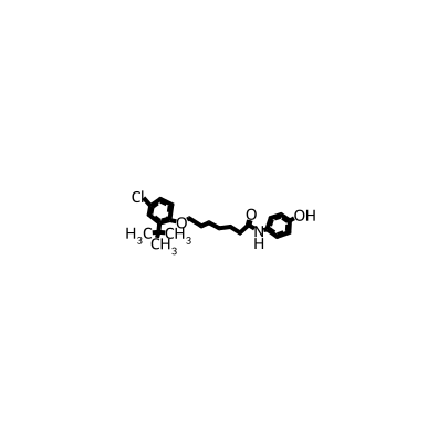 CC(C)(C)c1cc(Cl)ccc1OCCCCCCC(=O)Nc1ccc(O)cc1